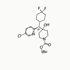 CC(C)(C)OC(=O)N1CCC(O)([C@@H](c2ccc(Cl)cn2)C2CCC(F)(F)CC2)CC1